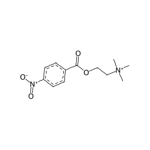 C[N+](C)(C)CCOC(=O)c1ccc([N+](=O)[O-])cc1